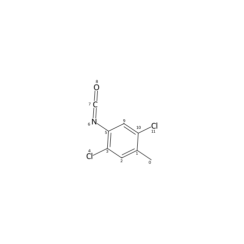 Cc1cc(Cl)c(N=C=O)cc1Cl